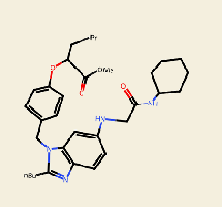 CCCCc1nc2ccc(NCC(=O)NC3CCCCC3)cc2n1Cc1ccc(OC(CC(C)C)C(=O)OC)cc1